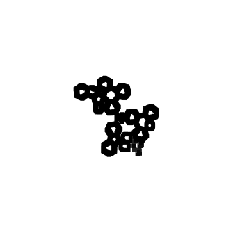 CC1(C)c2ccccc2-c2ccc(N(c3ccc4c(c3)-c3ccccc3Oc3ccccc3-4)c3ccc4c(c3)-c3ccccc3-c3ccccc3C43c4ccccc4-c4c3ccc3ccccc43)cc21